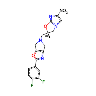 C[C@]1(CN2Cc3nc(-c4ccc(F)c(F)c4)oc3C2)Cn2cc([N+](=O)[O-])nc2O1